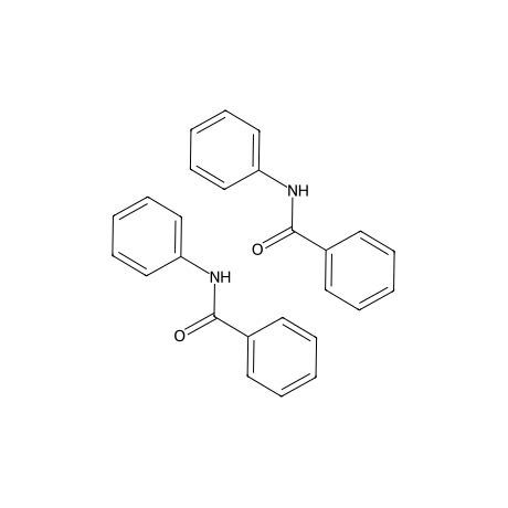 O=C(Nc1ccccc1)c1ccccc1.O=C(Nc1ccccc1)c1ccccc1